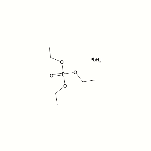 CCOP(=O)(OCC)OCC.[PbH2]